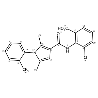 Cc1cc(C(=O)Nc2c(Cl)cccc2C(=O)O)c(C)n1-c1ccccc1C(F)(F)F